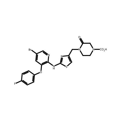 O=C(O)N1CCN(Cc2csc(Nc3ncc(Br)cc3Oc3ccc(F)cc3)n2)C(=O)C1